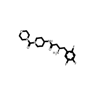 N[C@@H](CC(=O)NC1CCN(C(=O)N2CCOCC2)CC1)Cc1cc(F)c(F)cc1F